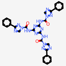 O=C(Nc1nc(NC(=O)n2cnc(-c3ccccc3)n2)nc(NC(=O)n2cnc(-c3ccccc3)n2)n1)n1cnc(-c2ccccc2)n1